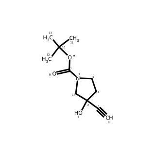 C#CC1(O)CCN(C(=O)OC(C)(C)C)C1